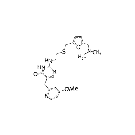 COc1ccnc(Cc2cnc(NCCSCc3ccc(CN(C)C)o3)[nH]c2=O)c1